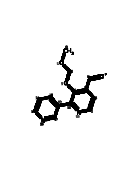 COCOc1c(C=O)ccnc1-c1cccnc1